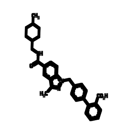 Cc1nn(Cc2ccc(-c3ccccc3C(=O)O)cc2)c2ccc(C(=O)NCC3CCC(C)CC3)cc12